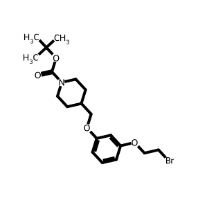 CC(C)(C)OC(=O)N1CCC(COc2cccc(OCCBr)c2)CC1